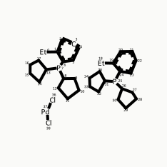 CCc1ccccc1P(C1CCCC1)C1CCCC1.CCc1ccccc1P(C1CCCC1)C1CCCC1.[Cl][Pd][Cl]